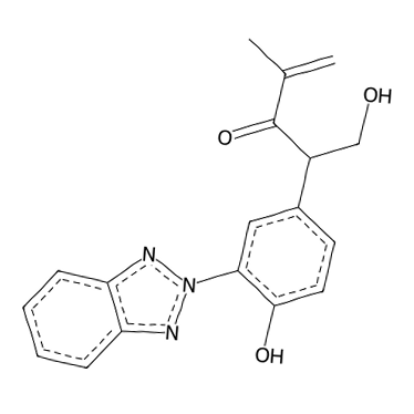 C=C(C)C(=O)C(CO)c1ccc(O)c(-n2nc3ccccc3n2)c1